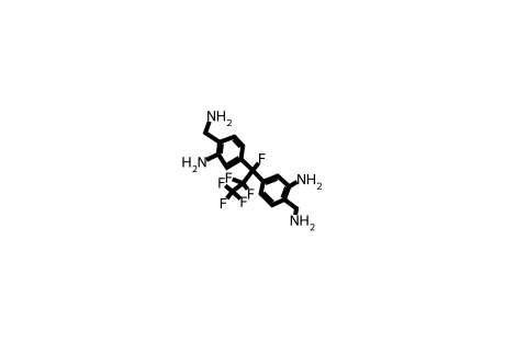 NCc1ccc(C(F)(c2ccc(CN)c(N)c2)C(F)(F)C(F)(F)F)cc1N